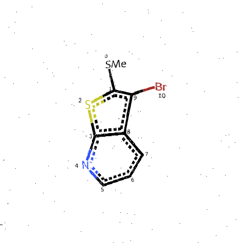 CSc1sc2ncccc2c1Br